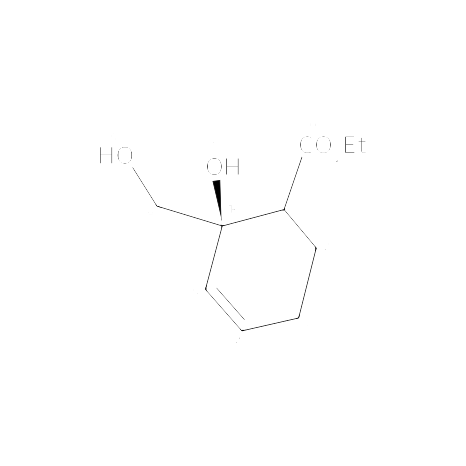 CCOC(=O)C1CCC=C[C@]1(O)CO